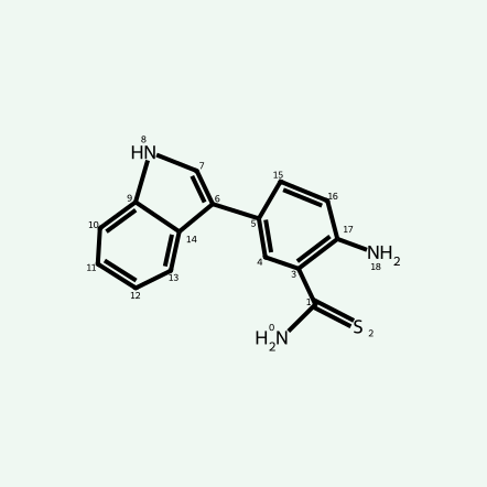 NC(=S)c1cc(-c2c[nH]c3ccccc23)ccc1N